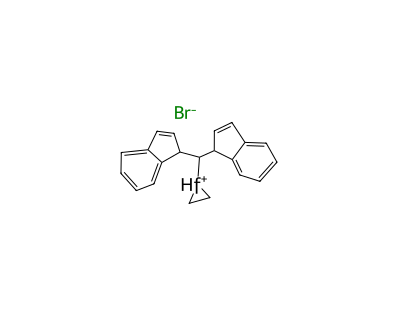 C1=CC([CH](C2C=Cc3ccccc32)[Hf+]2[CH2][CH2]2)c2ccccc21.[Br-]